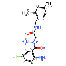 Cc1ccc(CNC(=O)CN(N)C(=O)c2cc(F)ccc2N)c(C)c1